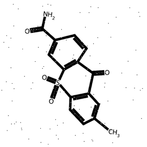 Cc1ccc2c(c1)C(=O)c1ccc(C(N)=O)cc1S2(=O)=O